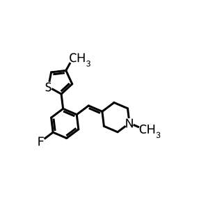 Cc1csc(-c2cc(F)ccc2C=C2CCN(C)CC2)c1